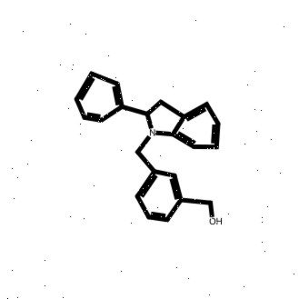 OCc1cccc(CN2c3ccccc3CC2c2ccccc2)c1